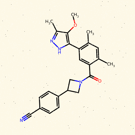 COc1c(C)n[nH]c1-c1cc(C(=O)N2CC(c3ccc(C#N)cc3)C2)c(C)cc1C